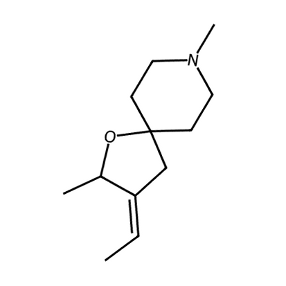 C/C=C1/CC2(CCN(C)CC2)OC1C